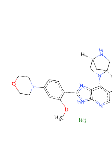 COc1cc(N2CCOCC2)ccc1-c1nc2c(N3C[C@@H]4C[C@H]3CN4)c(Cl)cnc2[nH]1.Cl